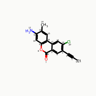 CCC#Cc1cc2c(=O)oc3cc(N)c(C)cc3c2cc1Cl